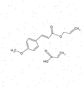 C=CC(=O)O.C=CCOC(=O)C=Cc1ccc(OC)cc1